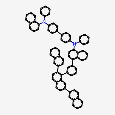 c1ccc(N(c2ccc(-c3ccc(N(c4ccccc4)c4ccc(-c5cccc(-c6c(-c7ccc8ccccc8c7)ccc7ccc(-c8ccc9ccccc9c8)cc67)c5)c5ccccc45)cc3)cc2)c2cccc3ccccc23)cc1